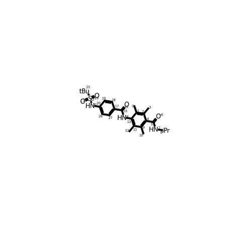 Cc1c(C)c(C(=O)NC(C)C)c(C)c(C)c1NC(=O)c1ccc(NS(=O)(=O)C(C)(C)C)cc1